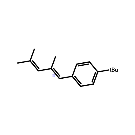 CC(C)=C/C(C)=C/c1ccc(C(C)(C)C)cc1